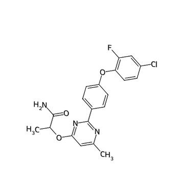 Cc1cc(OC(C)C(N)=O)nc(-c2ccc(Oc3ccc(Cl)cc3F)cc2)n1